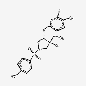 N#Cc1ccc(S(=O)(=O)N2C[C@H](Oc3ccc(C#N)c(F)c3)[C@](O)(CO)C2)cc1